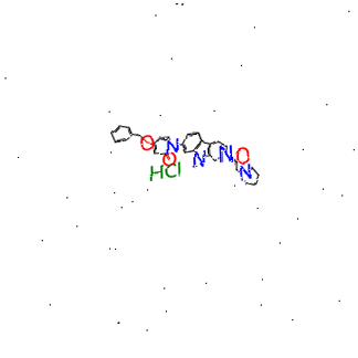 Cl.Cn1c2c(c3ccc(-n4ccc(OCc5ccccc5)cc4=O)cc31)CCN(C(=O)CN1CCCC1)C2